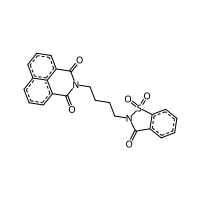 O=C1c2cccc3cccc(c23)C(=O)N1CCCCN1C(=O)c2ccccc2S1(=O)=O